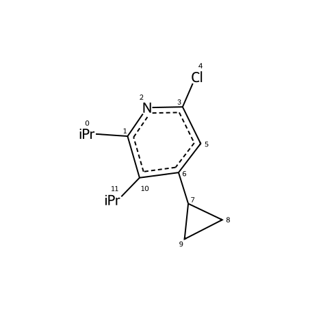 CC(C)c1nc(Cl)cc(C2CC2)c1C(C)C